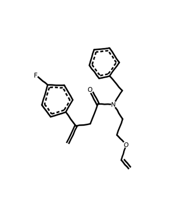 C=COCCN(Cc1ccccc1)C(=O)CC(=C)c1ccc(F)cc1